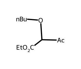 CCCCOC(C(C)=O)C(=O)OCC